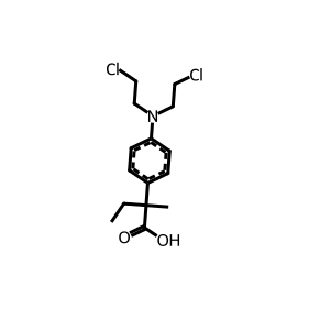 CCC(C)(C(=O)O)c1ccc(N(CCCl)CCCl)cc1